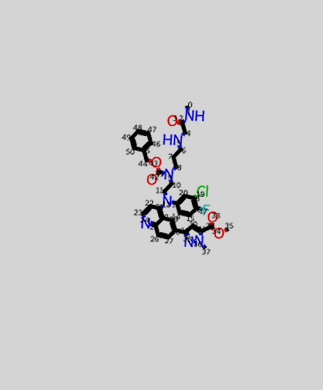 CNC(=O)CNCCCN(CCN(c1ccc(F)c(Cl)c1)c1ccnc2ccc(-c3cc(C(=O)OC)n(C)n3)cc12)C(=O)OCc1ccccc1